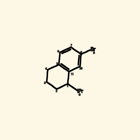 CC(C)C1CCCc2ccc(Br)cc21